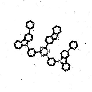 c1ccc(-c2ccc3c(c2)c2ccccc2n3-c2cccc(-c3nc(-c4cccc(-n5c6ccccc6c6cc(-c7ccccc7)ccc65)c4)nc(-c4ccc5c(c4)oc4ccccc45)n3)c2)cc1